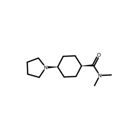 CN(C)C(=O)[C@H]1CC[C@@H](N2CCCC2)CC1